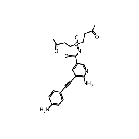 CC(=O)CCS(=O)(CCC(C)=O)=NC(=O)c1cnc(N)c(C#Cc2ccc(N)cc2)c1